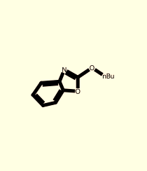 CCCCOc1nc2ccccc2o1